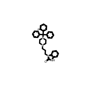 O=c1[nH]c2ccccc2n1CCCN1CCN(C(c2ccccc2)(c2ccccc2)c2ccccc2F)CC1